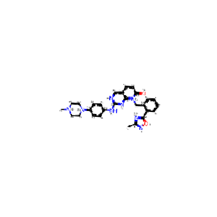 Cc1noc(-c2ccccc2Cn2c(=O)ccc3cnc(Nc4ccc(N5CCN(C)CC5)cc4)nc32)n1